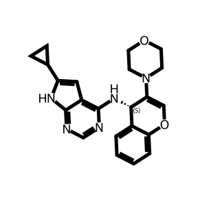 C1=C(N2CCOCC2)[C@@H](Nc2ncnc3[nH]c(C4CC4)cc23)c2ccccc2O1